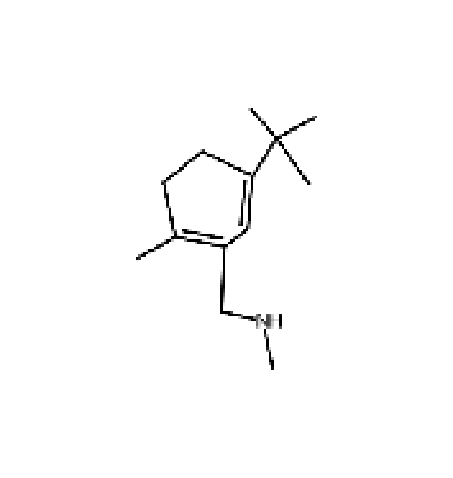 CNCC1=C(C)CCC(C(C)(C)C)=C1